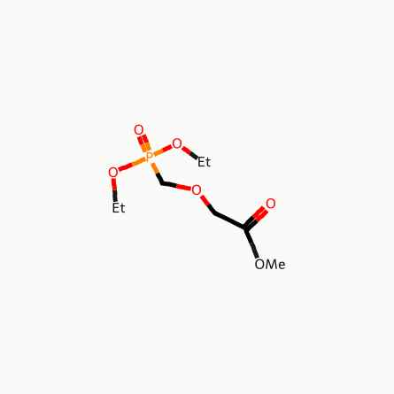 CCOP(=O)(COCC(=O)OC)OCC